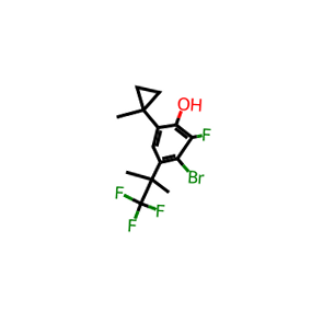 CC1(c2cc(C(C)(C)C(F)(F)F)c(Br)c(F)c2O)CC1